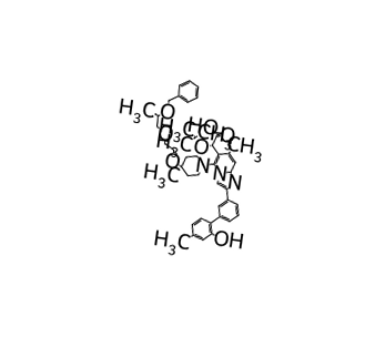 Cc1ccc(-c2cccc(-c3cn4c(N5CCC(C)(OCCOC[C@@H](C)OCc6ccccc6)CC5)c([C@H](OC(C)(C)C)C(=O)O)c(C)cc4n3)c2)c(O)c1